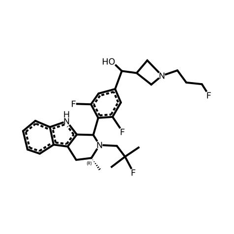 C[C@@H]1Cc2c([nH]c3ccccc23)C(c2c(F)cc(C(O)C3CN(CCCF)C3)cc2F)N1CC(C)(C)F